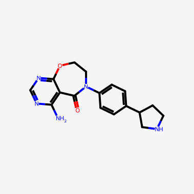 Nc1ncnc2c1C(=O)N(c1ccc(C3CCNC3)cc1)CCO2